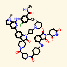 Cc1cc(F)c(Nc2nc(-c3ccc4c(c3)N(C3CC(N5CCCCC5)C3)C(=O)C43CCN(C(=O)C4CCN(C(=O)C5CCC(Nc6cccc7c6C(=O)N(C6CCC(=O)NC6=O)C7=O)CC5)C4)CC3)cc3ccn(C(C)C)c23)cc1C(=O)NC(C)C